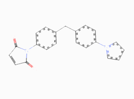 O=C1C=CC(=O)N1c1ccc(Cc2ccc(-n3cccc3)cc2)cc1